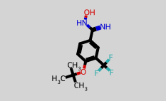 CC(C)(C)Oc1ccc(C(=N)NO)cc1C(F)(F)F